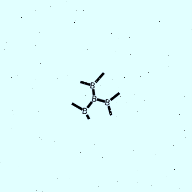 CB(C)B(B(C)C)B(C)C